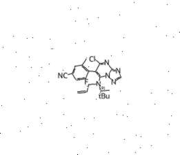 C=CCN(c1c(-c2c(C)cc(C#N)cc2F)c(Cl)nc2ncnn12)[C@H](C)C(C)(C)C